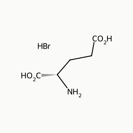 Br.N[C@@H](CCC(=O)O)C(=O)O